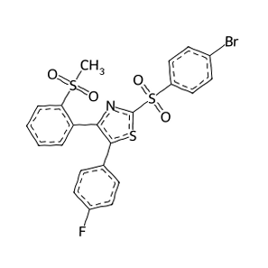 CS(=O)(=O)c1ccccc1-c1nc(S(=O)(=O)c2ccc(Br)cc2)sc1-c1ccc(F)cc1